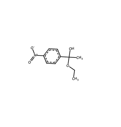 CCOC(C)(O)c1ccc([N+](=O)[O-])cc1